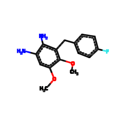 COc1cc(N)c(N)c(Cc2ccc(F)cc2)c1OC